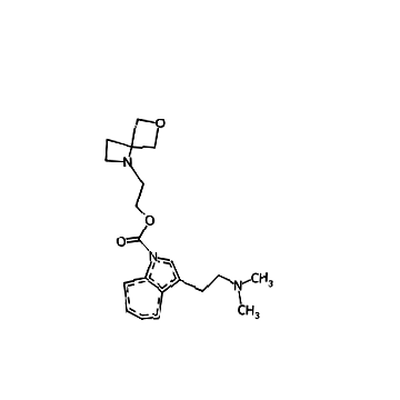 CN(C)CCc1cn(C(=O)OCCN2CCC23COC3)c2ccccc12